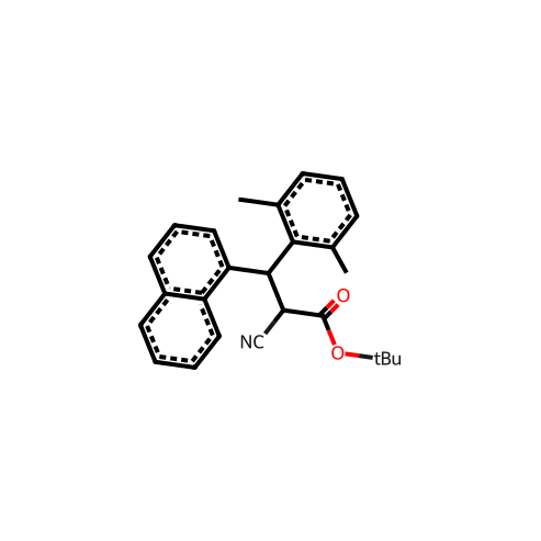 Cc1cccc(C)c1C(c1cccc2ccccc12)C(C#N)C(=O)OC(C)(C)C